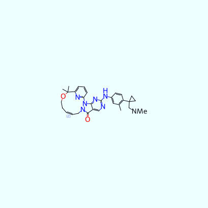 CNCC1(c2ccc(Nc3ncc4c(=O)n5n(c4n3)-c3cccc(n3)C(C)(C)OCC/C=C\C5)cc2C)CC1